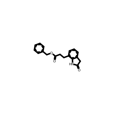 O=C1Cc2cccc(CCC(=O)OCc3ccccc3)c2N1